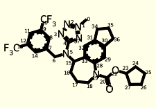 Cn1nnc(N(Cc2cc(C(F)(F)F)cc(C(F)(F)F)c2)C2CCCN(C(=O)OC3CCCC3)c3cc4c(cc32)CCC4)n1